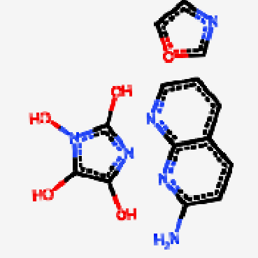 Nc1ccc2cccnc2n1.Oc1nc(O)n(O)c1O.c1cocn1